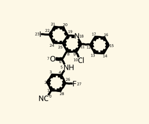 N#Cc1ccc(NC(=O)c2c(Cl)c(-c3ccccc3)nc3ccc(I)cc23)c(F)c1